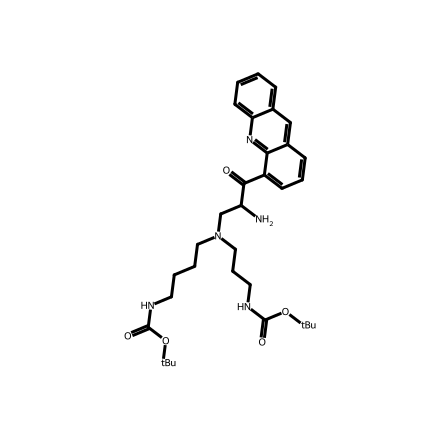 CC(C)(C)OC(=O)NCCCCN(CCCNC(=O)OC(C)(C)C)CC(N)C(=O)c1cccc2cc3ccccc3nc12